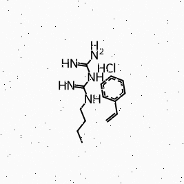 C=Cc1ccccc1.CCCCNC(=N)NC(=N)N.Cl